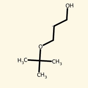 CC(C)(C)OC[CH]CO